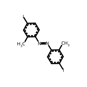 Cc1cc(I)ccc1/N=N/c1ccc(I)cc1C